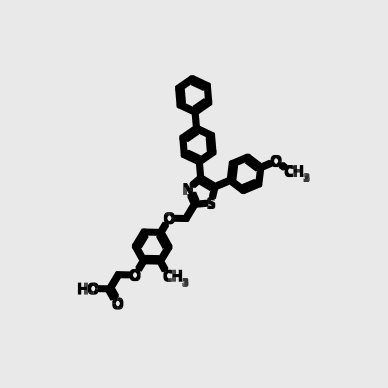 COc1ccc(-c2sc(COc3ccc(OCC(=O)O)c(C)c3)nc2-c2ccc(-c3ccccc3)cc2)cc1